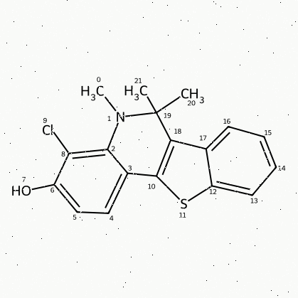 CN1c2c(ccc(O)c2Cl)-c2sc3ccccc3c2C1(C)C